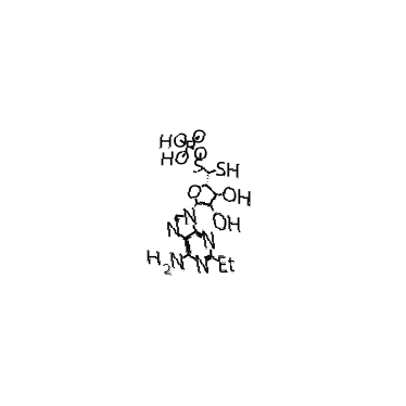 CCc1nc(N)c2ncn([C@@H]3O[C@H](C(S)SOP(=O)(O)O)[C@@H](O)[C@H]3O)c2n1